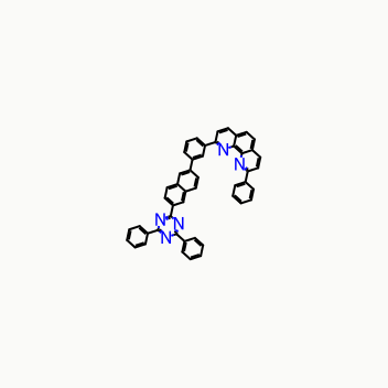 c1ccc(-c2ccc3ccc4ccc(-c5cccc(-c6ccc7cc(-c8nc(-c9ccccc9)nc(-c9ccccc9)n8)ccc7c6)c5)nc4c3n2)cc1